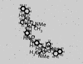 CN[C@@H](C)C(=O)N[C@@H](Cc1ccc(NC(=O)Nc2ccc(C[C@H](NC(=O)[C@H](C)NC)C(=O)N3CCC[C@H]3C(=O)N[C@@H]3CCCc4ccccc43)cc2)cc1)C(=O)N1CCC[C@H]1C(=O)N[C@@H]1CCCc2ccccc21